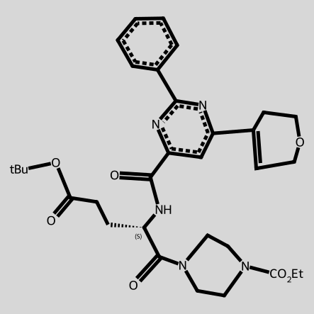 CCOC(=O)N1CCN(C(=O)[C@H](CCC(=O)OC(C)(C)C)NC(=O)c2cc(C3=CCOCC3)nc(-c3ccccc3)n2)CC1